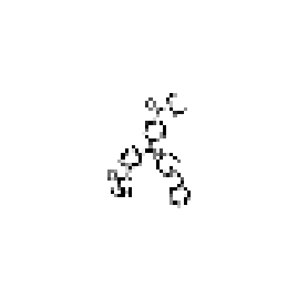 CCN(CC)C(=O)c1ccc(C(c2cccc(NC(=O)O)c2)N2CCN(Cc3ccccc3)CC2)cc1